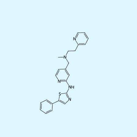 CN(CCc1ccccn1)Cc1ccnc(Nc2ncc(-c3ccccc3)s2)c1